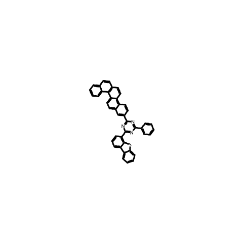 c1ccc(-c2nc(-c3ccc4c(ccc5c4ccc4ccc6ccccc6c45)c3)nc(-c3cccc4c3sc3ccccc34)n2)cc1